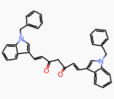 O=C(C=Cc1cn(Cc2ccccc2)c2ccccc12)CC(=O)C=Cc1cn(Cc2ccccc2)c2ccccc12